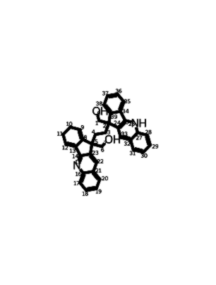 OCC1(CCC2(CO)C3=CCCC=C3c3nc4ccccc4cc32)C2=C(NC3C=CC=CC3=C2)c2ccccc21